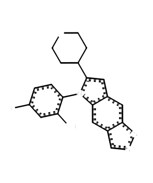 Cc1cc(F)ccc1-n1c(C2CCOCC2)cc2cc3[nH]ncc3cc21